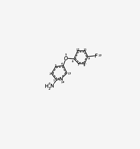 Nc1ccc(Oc2c[c]c(F)cc2)cn1